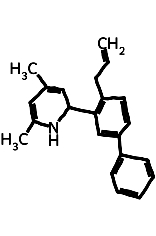 C=CCc1ccc(-c2ccccc2)cc1C1C=C(C)C=C(C)N1